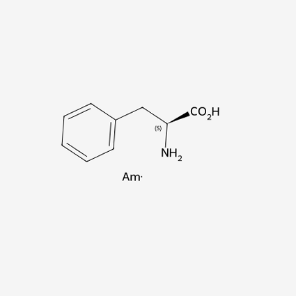 N[C@@H](Cc1ccccc1)C(=O)O.[Am]